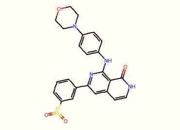 O=c1[nH]ccc2cc(-c3cccc([SH](=O)=O)c3)nc(Nc3ccc(N4CCOCC4)cc3)c12